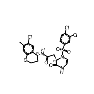 Cc1cc2c(cc1Cl)[C@H](NC(=O)C[C@@H]1C(=O)NC=CN1S(=O)(=O)c1ccc(Cl)c(Cl)c1)CCO2